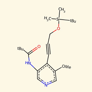 COc1cncc(NC(=O)C(C)(C)C)c1C#CCO[Si](C)(C)C(C)(C)C